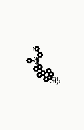 CC1(C)c2cccc(-c3ccc(-c4ccc(-c5cc(-c6cccc(-c7cccnc7)c6)nc(-c6ccccc6)n5)c5ccccc45)c4ccccc34)c2-c2c1ccc1ccccc21